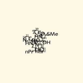 CCCC(CCC)CC[C@@H](NC(=O)c1cccnc1)C(=O)N[C@@H](Cc1ccccc1)[C@@H](O)[C@H](O)[C@@H](CCSC)NC(=O)c1ccccc1